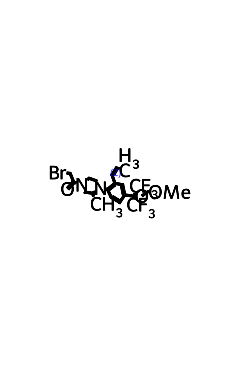 C/C=C\c1cc(C(OCOC)(C(F)(F)F)C(F)(F)F)ccc1N1CCN(C(=O)CBr)CC1C